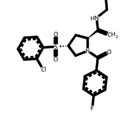 C=C(NCC#N)[C@@H]1C[C@@H](S(=O)(=O)c2ccccc2Cl)CN1C(=O)c1ccc(F)cc1